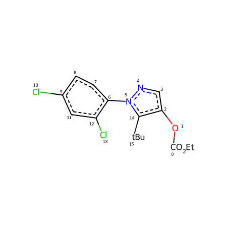 CCOC(=O)Oc1cnn(-c2ccc(Cl)cc2Cl)c1C(C)(C)C